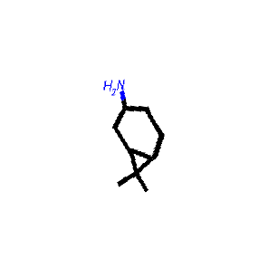 CC1(C)C2CCC(N)CC21